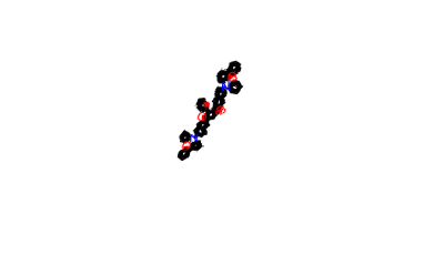 c1ccc(-c2c3oc4cc5cc(N(c6ccccc6)c6cccc7c6oc6ccccc67)ccc5cc4c3cc3oc4cc5cc(N(c6ccccc6)c6cccc7c6oc6ccccc67)ccc5cc4c23)cc1